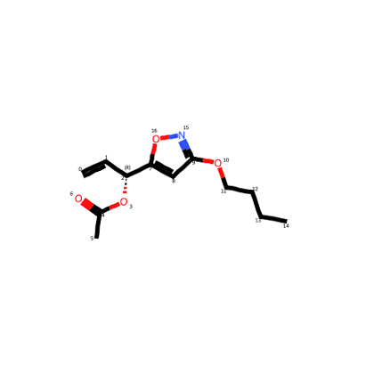 C=C[C@@H](OC(C)=O)c1cc(OCCCC)no1